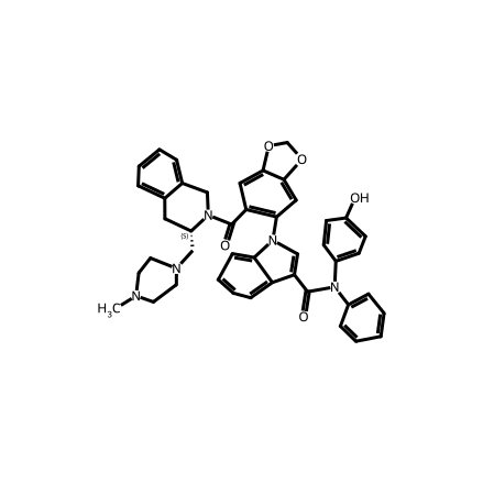 CN1CCN(C[C@@H]2Cc3ccccc3CN2C(=O)c2cc3c(cc2-n2cc(C(=O)N(c4ccccc4)c4ccc(O)cc4)c4ccccc42)OCO3)CC1